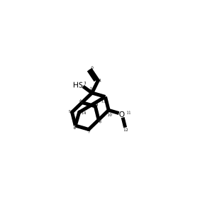 C=CC1(S)C2CC3CC(C2)C(OC)C1C3